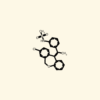 C/C(=C1/c2ccc(Cl)cc2COc2ccccc21)c1cccc(NS(C)(=O)=O)c1